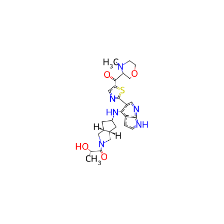 C[C@H](O)C(=O)N1C[C@H]2CC(Nc3c(-c4ncc(C(=O)C5COCCN5C)s4)cnc4[nH]ccc34)C[C@H]2C1